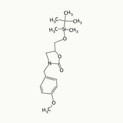 COc1ccc(CN2CC(CO[Si](C)(C)C(C)(C)C)OC2=O)cc1